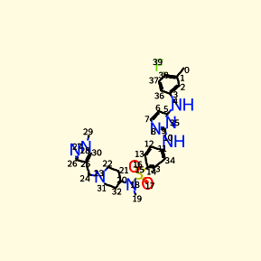 Cc1cc(Nc2ccnc(Nc3ccc(S(=O)(=O)N(C)C4CCN(Cc5cnn(C)c5)CC4)cc3)n2)ccc1F